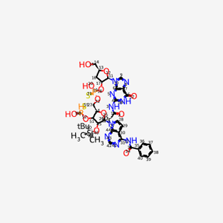 CC(C)C(=O)Nc1nc2c(ncn2[C@@H]2O[C@H](CO)C[C@@H]2OP(O)(=S)OC[C@H]2O[C@@H](n3ccc4c(NC(=O)c5ccccc5)ncnc43)[C@@H](O[Si](C)(C)C(C)(C)C)C2O[PH](O)=S)c(=O)[nH]1